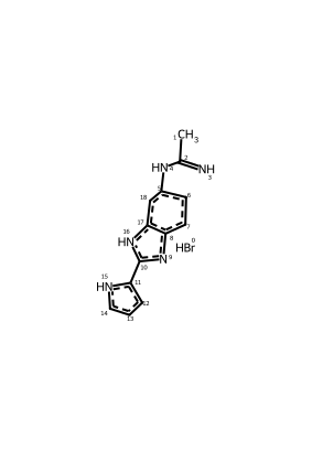 Br.CC(=N)Nc1ccc2nc(-c3ccc[nH]3)[nH]c2c1